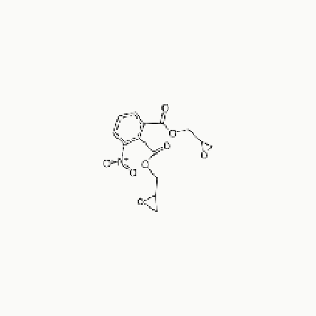 O=C(OCC1CO1)c1cccc([N+](=O)[O-])c1C(=O)OCC1CO1